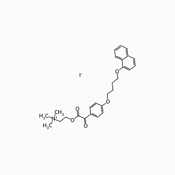 C[N+](C)(C)CCOC(=O)C(=O)c1ccc(OCCCCOc2cccc3ccccc23)cc1.[I-]